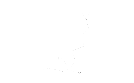 COC[Si](C)(CCCOCC1CO1)OC